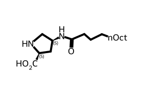 CCCCCCCCCCCC(=O)N[C@@H]1CN[C@H](C(=O)O)C1